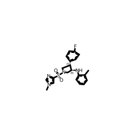 Cc1ccccc1N[C@H]1CN(S(=O)(=O)c2cn(C)cn2)C[C@@H]1c1ccc(F)cc1